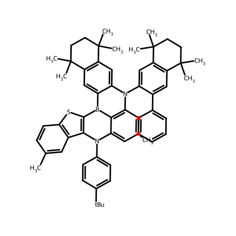 Cc1cc2c3c(c1)N(c1ccc(C(C)(C)C)cc1)c1c(sc4ccc(C)cc14)B3c1cc3c(cc1N2c1cc2c(cc1-c1ccccc1)C(C)(C)CCC2(C)C)C(C)(C)CCC3(C)C